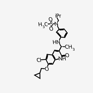 CC(C)CN(c1cccc(N[C@@H](C)c2cc3cc(Cl)c(OCC4CC4)cc3[nH]c2=O)c1)S(C)(=O)=O